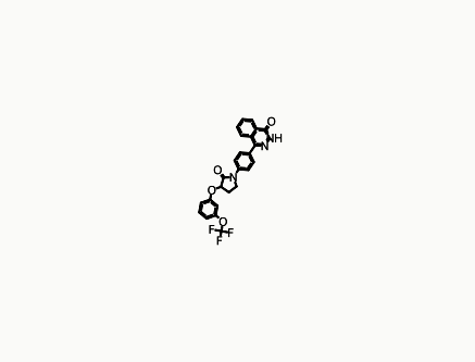 O=C1C(Oc2cccc(OC(F)(F)F)c2)CCN1c1ccc(-c2n[nH]c(=O)c3ccccc23)cc1